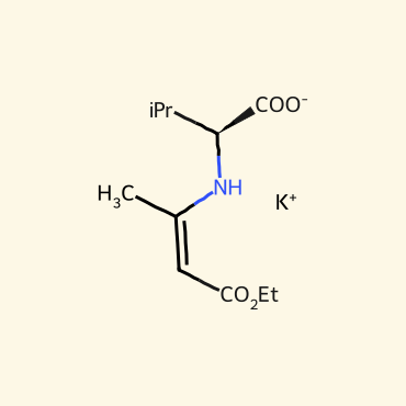 CCOC(=O)C=C(C)N[C@H](C(=O)[O-])C(C)C.[K+]